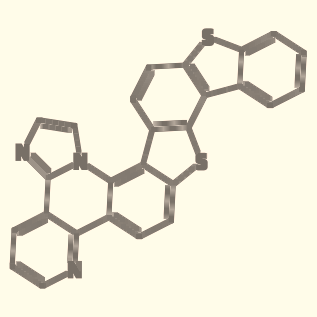 c1ccc2c(c1)sc1ccc3c(sc4ccc5c6ncccc6c6nccn6c5c43)c12